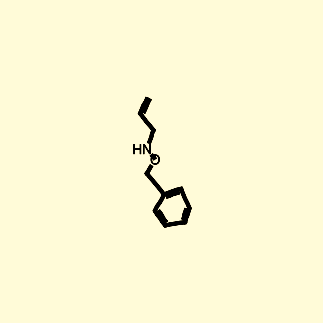 C=CCNOCc1ccccc1